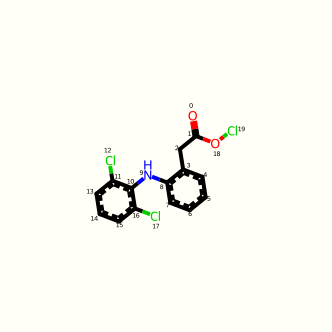 O=C(Cc1ccccc1Nc1c(Cl)cccc1Cl)OCl